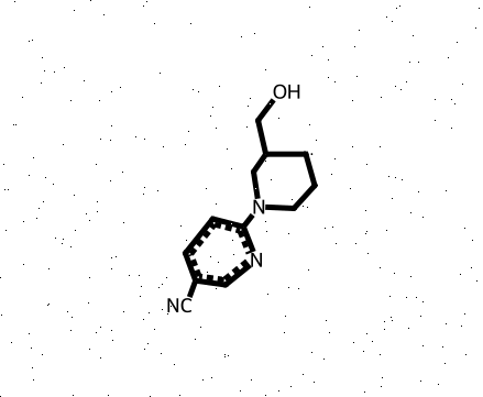 N#Cc1ccc(N2CC[CH]C(CO)C2)nc1